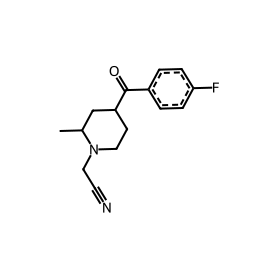 CC1CC(C(=O)c2ccc(F)cc2)CCN1CC#N